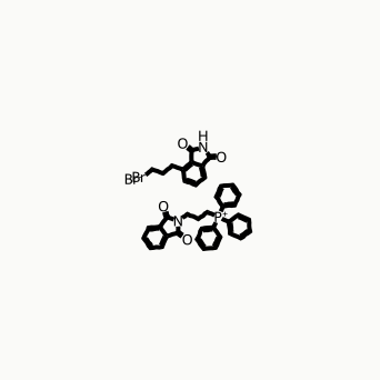 O=C1NC(=O)c2c(CCCBr)cccc21.O=C1c2ccccc2C(=O)N1CCC[P+](c1ccccc1)(c1ccccc1)c1ccccc1.[Br-]